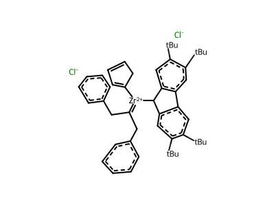 CC(C)(C)c1cc2c(cc1C(C)(C)C)[CH]([Zr+2]([C]1=CC=CC1)=[C](Cc1ccccc1)Cc1ccccc1)c1cc(C(C)(C)C)c(C(C)(C)C)cc1-2.[Cl-].[Cl-]